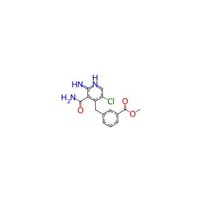 COC(=O)c1cccc(Cc2c(Cl)c[nH]c(=N)c2C(N)=O)c1